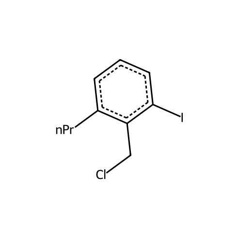 CCCc1cccc(I)c1CCl